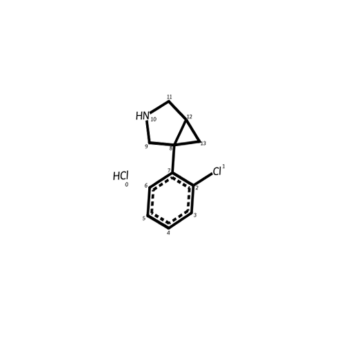 Cl.Clc1ccccc1C12CNCC1C2